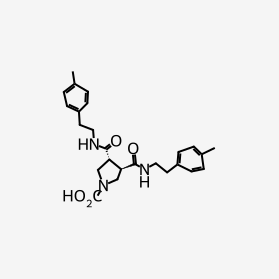 Cc1ccc(CCNC(=O)[C@H]2CN(C(=O)O)C[C@@H]2C(=O)NCCc2ccc(C)cc2)cc1